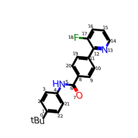 CC(C)(C)c1ccc(NC(=O)c2ccc(-c3ncccc3F)cc2)cc1